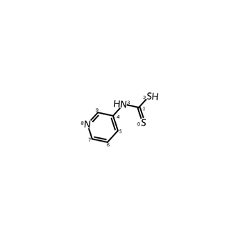 S=C(S)Nc1cccnc1